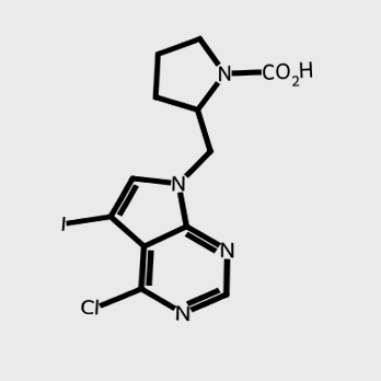 O=C(O)N1CCCC1Cn1cc(I)c2c(Cl)ncnc21